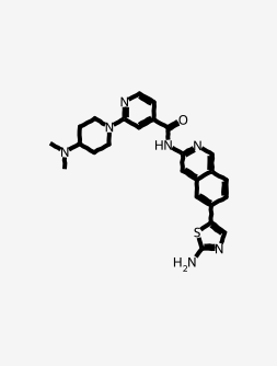 CN(C)C1CCN(c2cc(C(=O)Nc3cc4cc(-c5cnc(N)s5)ccc4cn3)ccn2)CC1